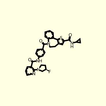 O=C(NC1CC1)c1cc2c(s1)-c1ccccc1N(C(=O)c1ccc(NC(=O)c3cccnc3N3CC[C@@H](F)C3)cc1)CC2